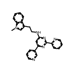 Cn1cc(CCNc2cc(-c3cccnc3)nc(-c3ccccn3)n2)c2ccccc21